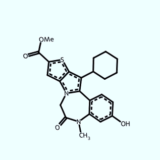 COC(=O)c1cc2c(s1)c(C1CCCCC1)c1n2CC(=O)N(C)c2cc(O)ccc2-1